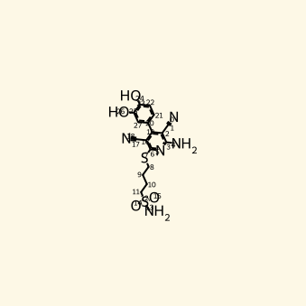 N#Cc1c(N)nc(SCCCCS(N)(=O)=O)c(C#N)c1-c1ccc(O)c(O)c1